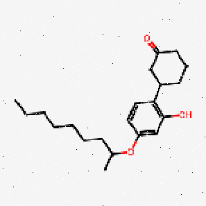 CCCCCCCC(C)Oc1ccc(C2CCCC(=O)C2)c(O)c1